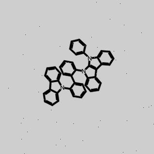 c1ccc(-n2c3ccccc3c3c4ccccc4n(-c4ccccc4-c4ccccc4-n4c5ccccc5c5ccccc54)c32)cc1